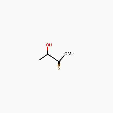 COC(=S)C(C)O